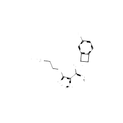 CC(=O)NCCSc1nonc1/C(=N\O)N[C@H]1Cc2ccc(F)cc21